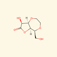 O=C1O[C@H]2[C@H](OCCO[C@H]2CO)[C@@H]1O